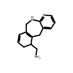 NCC1CC=CC2=C1Cc1cccnc1NC2